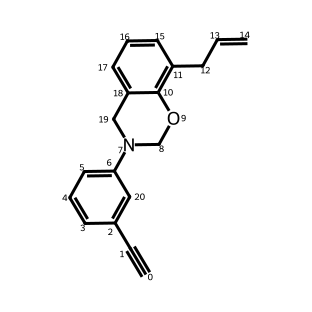 C#Cc1cccc(N2COc3c(CC=C)cccc3C2)c1